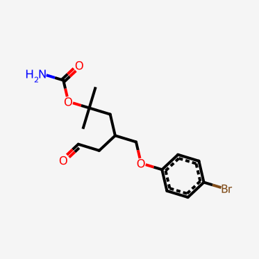 CC(C)(CC(CC=O)COc1ccc(Br)cc1)OC(N)=O